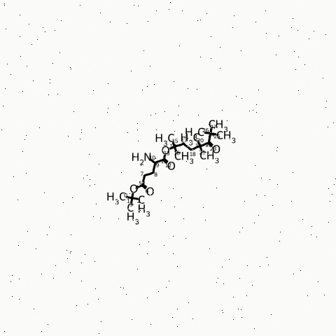 CC(C)(C)OC(=O)CCC(N)C(=O)OC(C)(C)CCC(C)(C)C(=O)C(C)(C)C